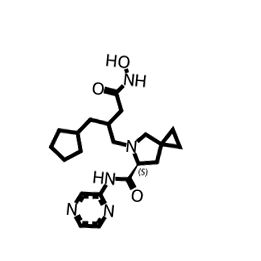 O=C(CC(CC1CCCC1)CN1CC2(CC2)C[C@H]1C(=O)Nc1cnccn1)NO